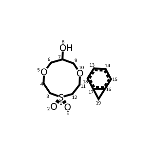 O=S1(=O)CCOCC(O)COCC1.c1ccc2c(c1)C2